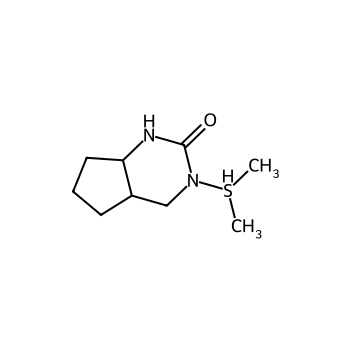 C[SH](C)N1CC2CCCC2NC1=O